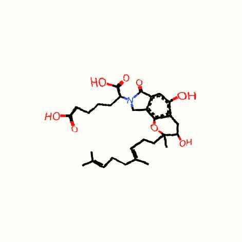 CC(C)=CCC/C(C)=C/CCC1(C)Oc2c(c(O)cc3c2CN(C(CCCCC(=O)O)C(=O)O)C3=O)CC1O